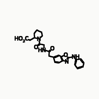 O=C(O)CC1CCCCN1C(=O)CNC(=O)Cc1ccc2nc(Nc3ccccc3)oc2c1